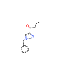 CCCC(=O)c1cn(Cc2ccccc2)cn1